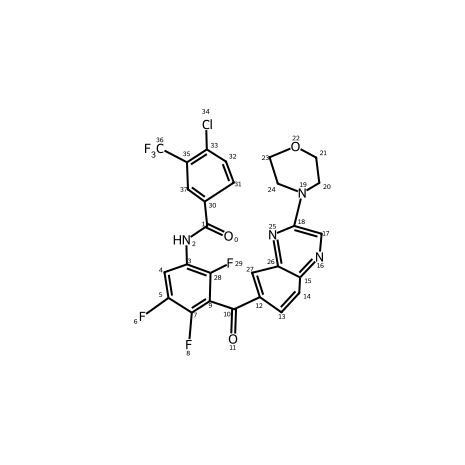 O=C(Nc1cc(F)c(F)c(C(=O)c2ccc3ncc(N4CCOCC4)nc3c2)c1F)c1ccc(Cl)c(C(F)(F)F)c1